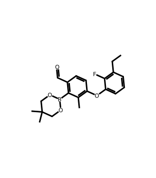 CCc1cccc(Oc2ccc(C=O)c(B3OCC(C)(C)CO3)c2C)c1F